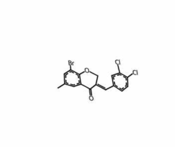 Cc1cc(Br)c2c(c1)C(=O)/C(=C/c1ccc(Cl)c(Cl)c1)CO2